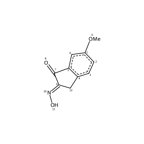 COc1ccc2c(c1)C(=O)C(=NO)C2